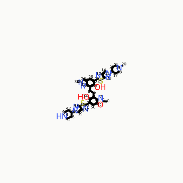 Cc1nc2c(CCc3c(O)c(-c4nc5cn(C6CCN(C)CC6)nc5s4)cc4cn(C)nc34)c(O)c(-c3nc4cn(C5CCNCC5)nc4s3)cc2o1